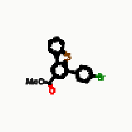 COC(=O)c1cc(-c2ccc(Br)cc2)c2sc3ccccc3c2c1